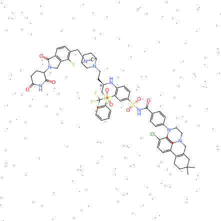 CC1(C)CCC(c2ccc(Cl)cc2)=C(CN2CCN(c3ccc(C(=O)NS(=O)(=O)c4ccc(N[C@H](CCN5CC6CCC5CN6Cc5ccc6c(c5F)CN(C5CCC(=O)NC5=O)C6=O)CSc5ccccc5)c(S(=O)(=O)C(F)(F)F)c4)cc3)CC2)C1